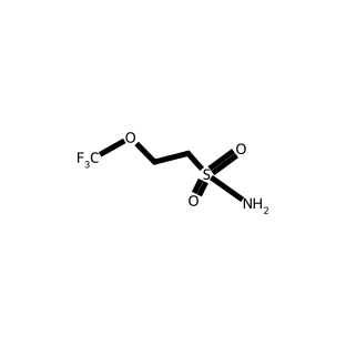 NS(=O)(=O)CCOC(F)(F)F